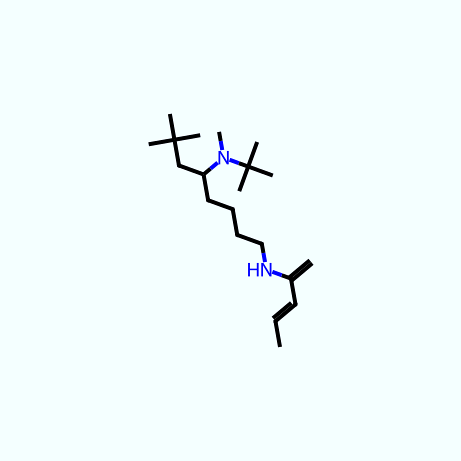 C=C(/C=C/C)NCCCCC(CC(C)(C)C)N(C)C(C)(C)C